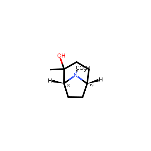 CC1(O)CC[C@@H]2CC[C@H]1N2C(=O)O